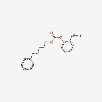 CCCCCc1ccccc1OC(=O)OCCCCCc1ccccc1